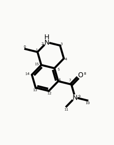 CC1NCCc2c(C(=O)N(C)C)cccc21